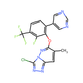 Cc1cc2nnc(Cl)n2nc1Oc1c(-c2cncnc2)ccc(C(F)(F)F)c1F